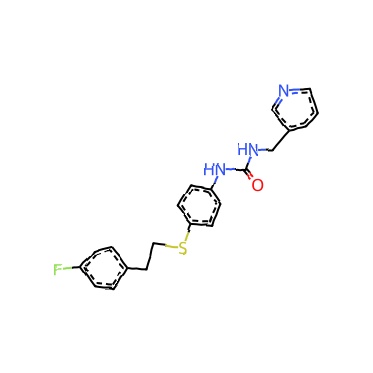 O=C(NCc1cccnc1)Nc1ccc(SCCc2ccc(F)cc2)cc1